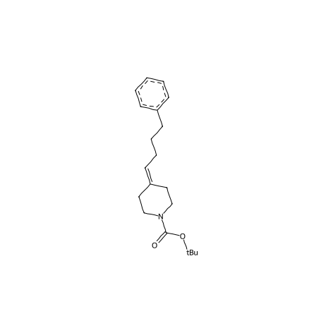 CC(C)(C)OC(=O)N1CCC(=CCCCc2ccccc2)CC1